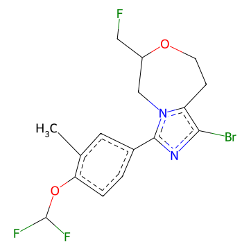 Cc1cc(-c2nc(Br)c3n2CC(CF)OCC3)ccc1OC(F)F